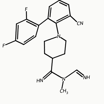 CN(C=N)C(=N)C1CCN(c2c(C#N)cccc2-c2ccc(F)cc2F)CC1